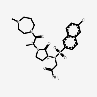 C[C@@H](C(=O)N1CCCN(C)CC1)N1CC[C@H](N(CC(N)=O)S(=O)(=O)c2ccc3cc(Cl)ccc3c2)C1=O